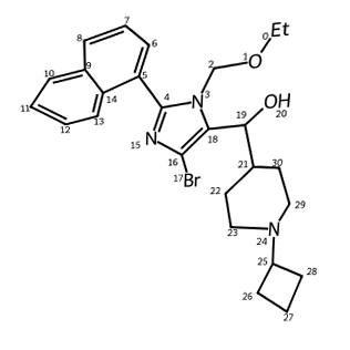 CCOCn1c(-c2cccc3ccccc23)nc(Br)c1C(O)C1CCN(C2CCC2)CC1